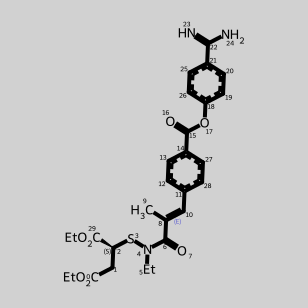 CCOC(=O)C[C@H](SN(CC)C(=O)/C(C)=C/c1ccc(C(=O)Oc2ccc(C(=N)N)cc2)cc1)C(=O)OCC